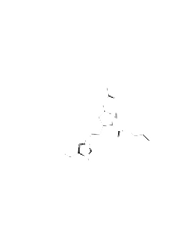 C=CCOC(=O)C1NC(SC(C)=O)CC1CCn1cnc(CO)c1